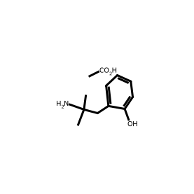 CC(=O)O.CC(C)(N)Cc1ccccc1O